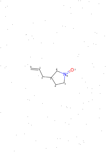 C=CCC1CC[N+](=O)C1